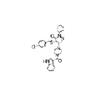 O=C(c1c[nH]c2ccccc12)N1CCN(c2cnn(-c3ccccc3)c(=O)c2SCc2ccc(Cl)cc2)CC1